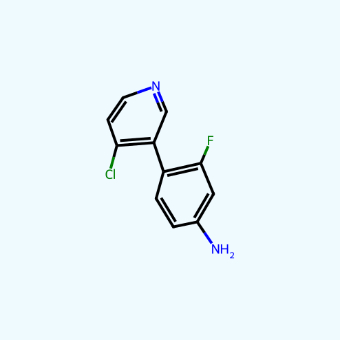 Nc1ccc(-c2cnccc2Cl)c(F)c1